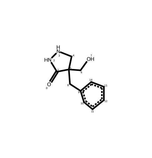 O=C1NNCC1(CO)Cc1ccccc1